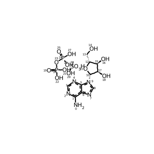 Nc1ncnc2c1ncn2[C@@H]1O[C@H](CO)[C@@H](O)[C@H]1O.O=P(O)(O)OP(=O)(O)O.O=S(=O)(O)O